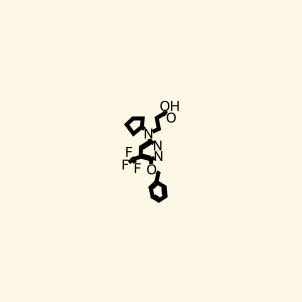 O=C(O)CCN(c1cc(C(F)(F)F)c(OCc2ccccc2)nn1)C1CCCC1